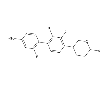 CCCCc1ccc(-c2ccc(C3CCC(CCCC)OC3)c(F)c2F)c(F)c1